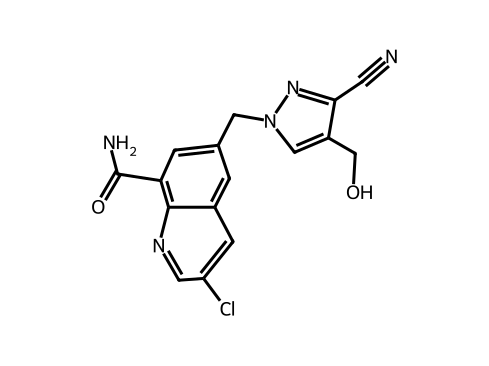 N#Cc1nn(Cc2cc(C(N)=O)c3ncc(Cl)cc3c2)cc1CO